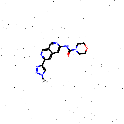 Cn1cc(-c2cc3cc(NC(=O)N4CCOCC4)ncc3cn2)nn1